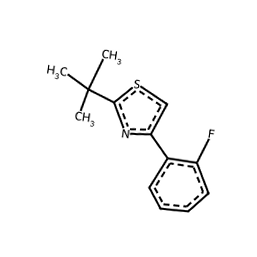 CC(C)(C)c1nc(-c2ccccc2F)cs1